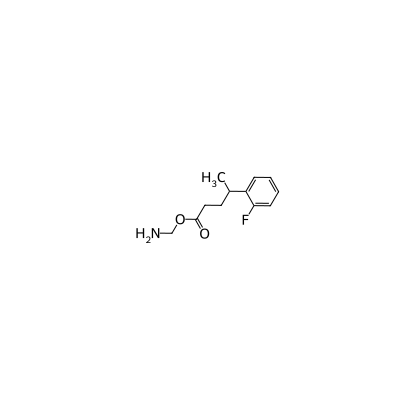 CC(CCC(=O)OCN)c1ccccc1F